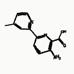 Cc1ccnc(-c2ccc(N)c(C(=O)O)n2)c1